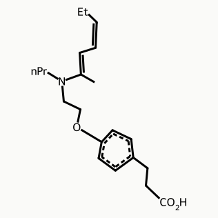 CC/C=C\C=C(/C)N(CCC)CCOc1ccc(CCC(=O)O)cc1